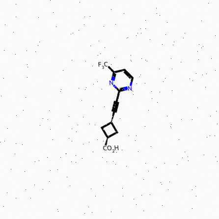 O=C(O)[C@H]1C[C@@H](C#Cc2nccc(C(F)(F)F)n2)C1